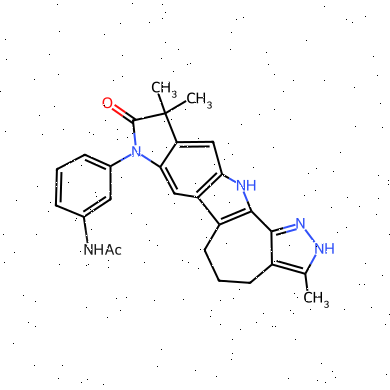 CC(=O)Nc1cccc(N2C(=O)C(C)(C)c3cc4[nH]c5c(c4cc32)CCCc2c-5n[nH]c2C)c1